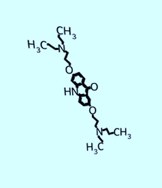 CCCN(CCC)CCCOc1ccc2c(=O)c3cc(OCCCN(CCC)CCC)ccc3[nH]c2c1